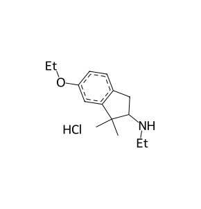 CCNC1Cc2ccc(OCC)cc2C1(C)C.Cl